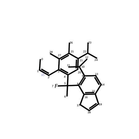 C/C=C\c1c(C(C)(F)c2c(C(C)C)ccc3c2CC=C3)cc(C(C)C)c(C)c1C